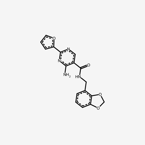 Nc1nc(-c2ccco2)ncc1C(=O)NCc1cccc2c1OCO2